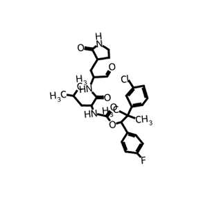 CC(C)CC(NC(=O)OC(c1ccc(F)cc1)C(C)(C)c1cccc(Cl)c1)C(=O)NC(C=O)CC1CCNC1=O